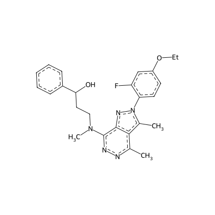 CCOc1ccc(-n2nc3c(N(C)CCC(O)c4ccccc4)nnc(C)c3c2C)c(F)c1